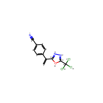 C=C(c1ccc(C#N)cc1)c1nnc(C(Cl)(Cl)Cl)o1